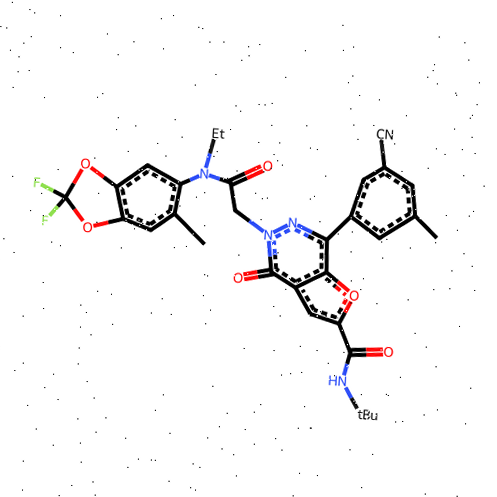 CCN(C(=O)Cn1nc(-c2cc(C)cc(C#N)c2)c2oc(C(=O)NC(C)(C)C)cc2c1=O)c1cc2c(cc1C)OC(F)(F)O2